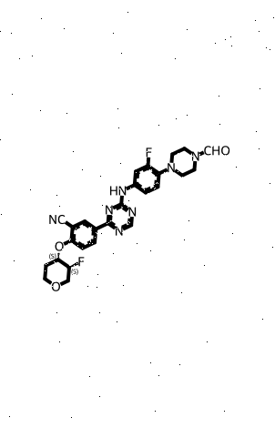 N#Cc1cc(-c2ncnc(Nc3ccc(N4CCN(C=O)CC4)c(F)c3)n2)ccc1O[C@H]1CCOC[C@@H]1F